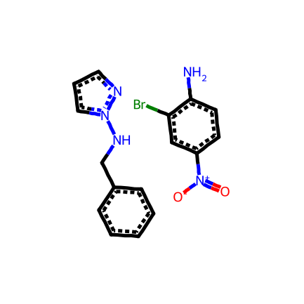 Nc1ccc([N+](=O)[O-])cc1Br.c1ccc(CNn2cccn2)cc1